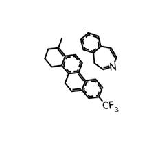 C1=Cc2ccccc2CC=N1.CC1=c2ccc3c(c2CCC1)CC=c1cc(C(F)(F)F)ccc1=3